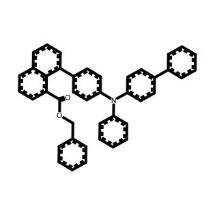 O=C(OCc1ccccc1)c1cccc2cccc(-c3ccc(N(c4ccccc4)c4ccc(-c5ccccc5)cc4)cc3)c12